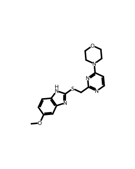 COc1ccc2[nH]c(SCc3nccc(N4CCOCC4)n3)nc2c1